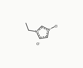 CCn1cc[n+](Cl)c1.[Cl-]